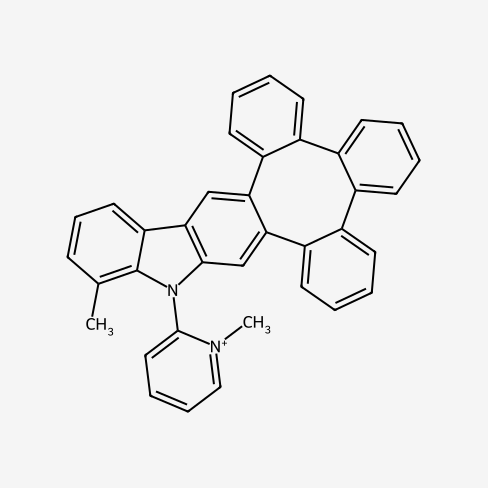 Cc1cccc2c3cc4c(cc3n(-c3cccc[n+]3C)c12)-c1ccccc1-c1ccccc1-c1ccccc1-4